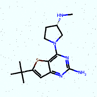 CN[C@H]1CCN(c2nc(N)nc3cc(C(C)(C)C)sc23)C1